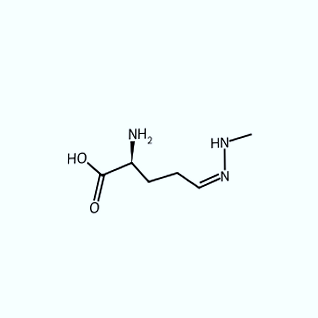 CN/N=C\CC[C@H](N)C(=O)O